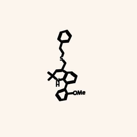 COc1ccccc1-c1cccc2c1NC(C)(C)C=C2CSCCc1ccccc1